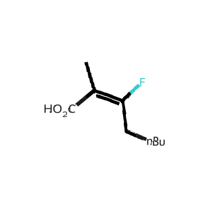 CCCCC/C(F)=C(/C)C(=O)O